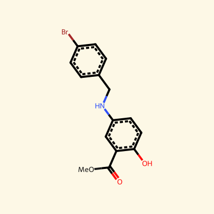 COC(=O)c1cc(NCc2ccc(Br)cc2)ccc1O